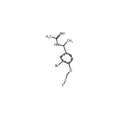 CC(=N)NC(C)c1ccc(OCCF)c(Br)c1